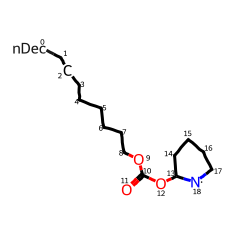 CCCCCCCCCCCCCCCCCCOC(=O)OC1CCCC[N]1